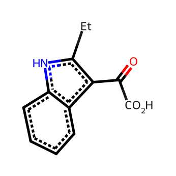 CCc1[nH]c2ccccc2c1C(=O)C(=O)O